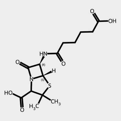 CC1(C)S[C@H]2[C@H](NC(=O)CCCCC(=O)O)C(=O)N2C1C(=O)O